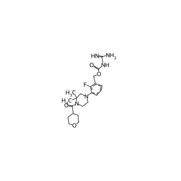 CC1(C)CN(c2cccc(COC(=O)NC(=N)N)c2F)CCN1C(=O)C1CCOCC1